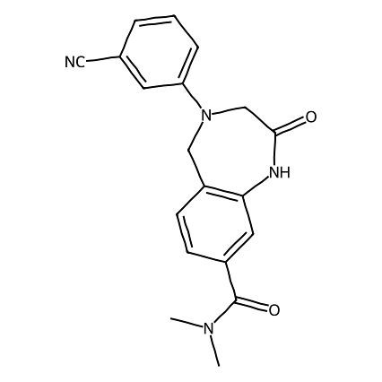 CN(C)C(=O)c1ccc2c(c1)NC(=O)CN(c1cccc(C#N)c1)C2